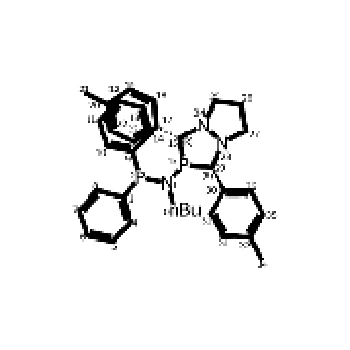 CCCCN(P(c1ccccc1)c1ccccc1)P1[C@H](c2ccc(C)cc2)N2CCCN2[C@H]1c1ccc(C)cc1